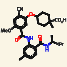 COc1cc(C#N)c(OC2CCC(C)(C(=O)O)CC2)cc1C(=O)Nc1cc(C)ccc1C(=O)NC(C)C(C)C